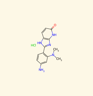 CN(C)c1cc(N)ccc1-c1nc2[nH]c(=O)ccc2[nH]1.Cl